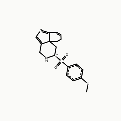 COc1ccc(S(=O)(=O)[C@@H]2CC34CCC=CC3=NC=C4CN2)cc1